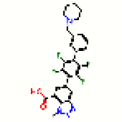 Cn1nnc2cc(-c3c(F)c(F)c(-c4cccc(CN5CCCCC5)c4)c(F)c3F)cc(C(=O)O)c21